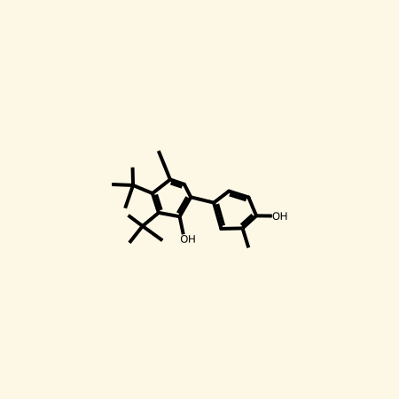 Cc1cc(-c2cc(C)c(C(C)(C)C)c(C(C)(C)C)c2O)ccc1O